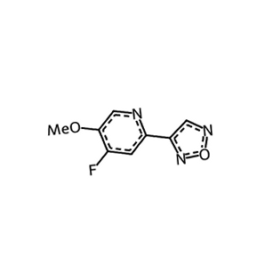 COc1cnc(-c2cnon2)cc1F